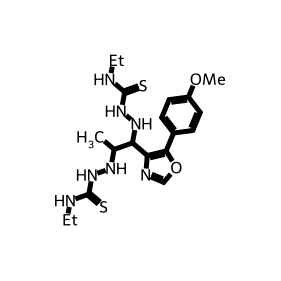 CCNC(=S)NNC(C)C(NNC(=S)NCC)c1ncoc1-c1ccc(OC)cc1